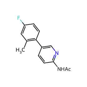 CC(=O)Nc1ccc(-c2ccc(F)cc2C)cn1